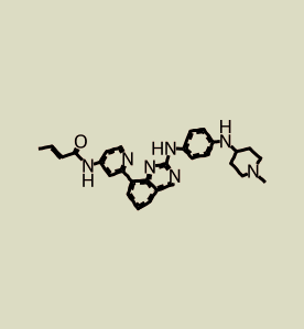 CC=CC(=O)Nc1ccnc(-c2cccc3cnc(Nc4ccc(NC5CCN(C)CC5)cc4)nc23)c1